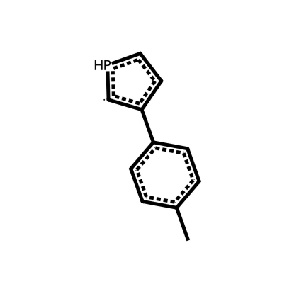 Cc1ccc(-c2[c][pH]cc2)cc1